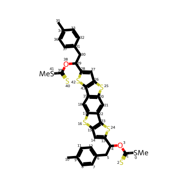 CSC(=S)OC(Cc1ccc(C)cc1)c1cc2sc3cc4c(cc3c2s1)sc1cc(C(Cc2ccc(C)cc2)OC(=S)SC)sc14